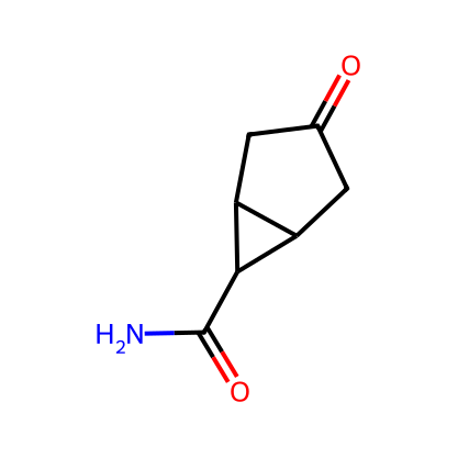 NC(=O)C1C2CC(=O)CC21